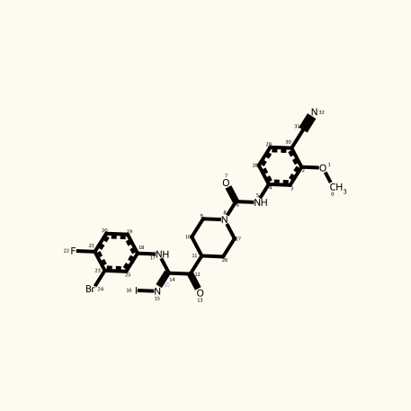 COc1cc(NC(=O)N2CCC(C(=O)/C(=N/I)Nc3ccc(F)c(Br)c3)CC2)ccc1C#N